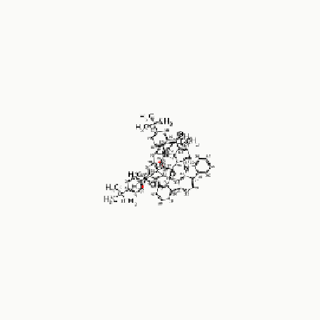 CC(C)(C)c1ccc(-c2cc3cc(c2)-n2c4ccccc4c4ccc5c6ccccc6n(c5c42)-c2cc4c(=O)c5cc(C(C)(C)C)ccc5n5c6ccc(C(C)(C)C)cc6c(=O)c(c2C(C)(C)c2ccc-3cc2)c45)cc1